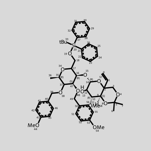 C=CC12COC(C)(C)O[C@H]1[C@H](OC)C(O)[C@H](O[C@@H]1C(CO[Si](c3ccccc3)(c3ccccc3)C(C)(C)C)O[C@H](C)C(OCc3ccc(OC)cc3)[C@@H]1OCc1ccc(OC)cc1)O2